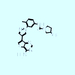 Cc1ccc(NC(=O)N2CCC(C(F)(F)F)C2)cc1-n1cc(-c2csc3c(N)ncnc23)cn1